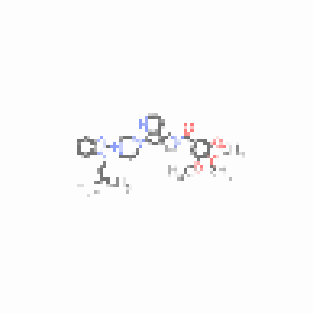 COc1cc(C(=O)N2CCC(CCN3CCCN(c4nc5ccccc5n4CC=C(C)C)CC3)(c3cccnc3)C2)cc(OC)c1OC